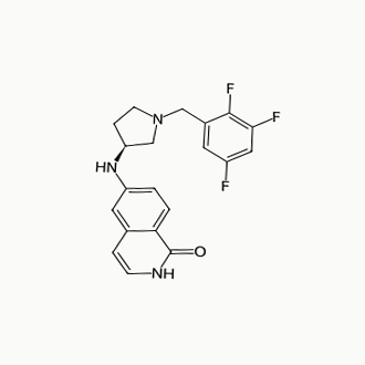 O=c1[nH]ccc2cc(N[C@H]3CCN(Cc4cc(F)cc(F)c4F)C3)ccc12